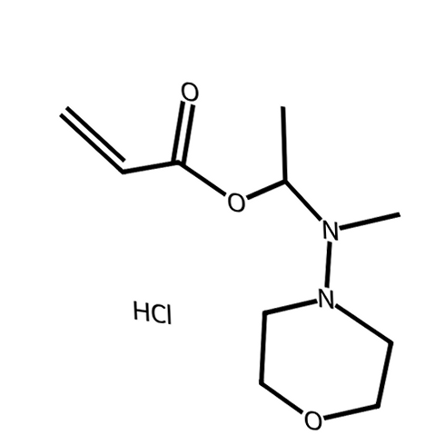 C=CC(=O)OC(C)N(C)N1CCOCC1.Cl